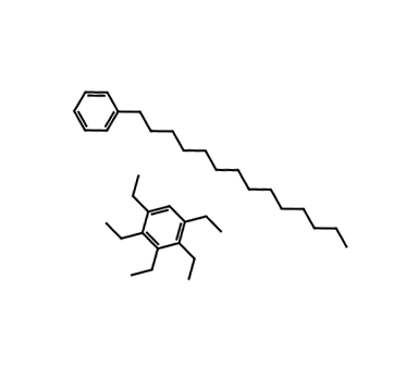 CCCCCCCCCCCCCCc1ccccc1.CCc1cc(CC)c(CC)c(CC)c1CC